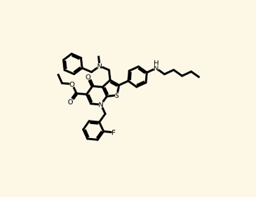 CCCCCNc1ccc(-c2sc3c(c2CN(C)Cc2ccccc2)c(=O)c(C(=O)OCC)cn3Cc2ccccc2F)cc1